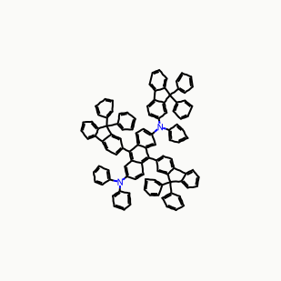 c1ccc(N(c2ccccc2)c2ccc3c(-c4ccc5c(c4)C(c4ccccc4)(c4ccccc4)c4ccccc4-5)c4cc(N(c5ccccc5)c5ccc6c(c5)C(c5ccccc5)(c5ccccc5)c5ccccc5-6)ccc4c(-c4ccc5c(c4)C(c4ccccc4)(c4ccccc4)c4ccccc4-5)c3c2)cc1